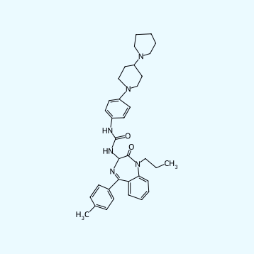 CCCN1C(=O)C(NC(=O)Nc2ccc(N3CCC(N4CCCCC4)CC3)cc2)N=C(c2ccc(C)cc2)c2ccccc21